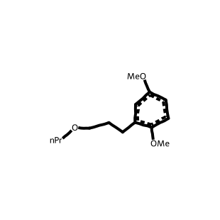 CCCOCCCc1cc(OC)ccc1OC